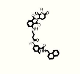 Cc1ccc(NC(=O)CCCNc2cccc3c2C(=O)N(C2CCC(=O)NC2=O)C3=O)cc1C(=O)NCc1cccc2ccccc12